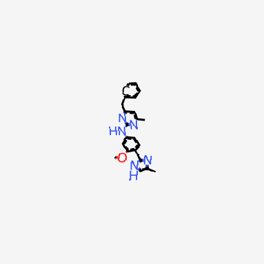 COc1cc(Nc2nc(C)cc(Cc3ccccc3)n2)ccc1-c1nc(C)c[nH]1